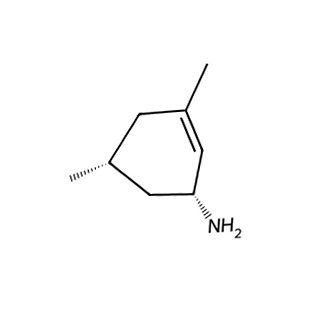 CC1=C[C@H](N)C[C@H](C)C1